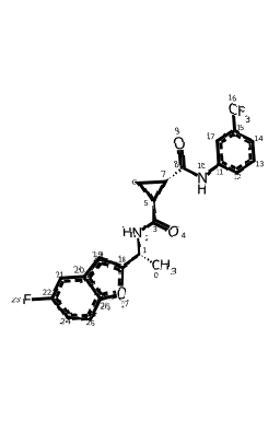 C[C@@H](NC(=O)[C@H]1C[C@@H]1C(=O)Nc1cccc(C(F)(F)F)c1)c1cc2cc(F)ccc2o1